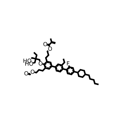 C=C(C)C(=O)OCCCc1cc(-c2ccc(-c3ccc(C4CCC(CCCCC)CC4)cc3F)c(CC)c2)cc(CCCOC=O)c1OCC(CC)(CO)CO